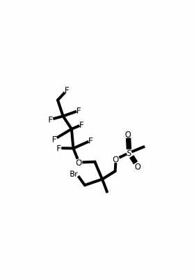 CC(CBr)(COC(F)(F)C(F)(F)C(F)(F)CF)COS(C)(=O)=O